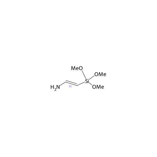 CO[Si](/C=C/N)(OC)OC